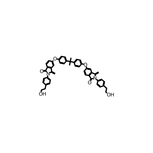 C=C1c2cc(Oc3ccc(C(C)(C)c4ccc(Oc5ccc6c(c5)C(=C)N(c5ccc(CCO)cc5)C6=O)cc4)cc3)ccc2C(=O)N1c1ccc(CCO)cc1